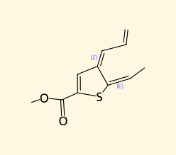 C=C/C=c1/cc(C(=O)OC)s/c1=C/C